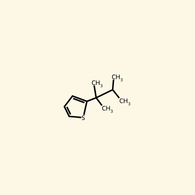 CC(C)C(C)(C)c1cccs1